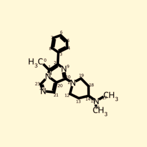 Cc1c(-c2ccccc2)nc(N2CCC(N(C)C)CC2)c2cncn12